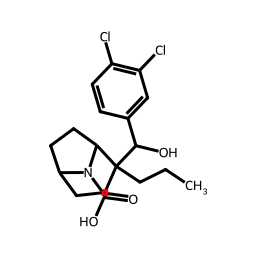 CCCC1(C(O)c2ccc(Cl)c(Cl)c2)CCC2CCC1N2C(=O)O